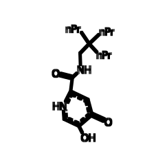 CCCC(CCC)(CCC)CNC(=O)c1cc(=O)c(O)c[nH]1